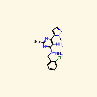 Cn1nccc1-c1nc(C(C)(C)C)nc(N(N)Cc2ccccc2Cl)c1N